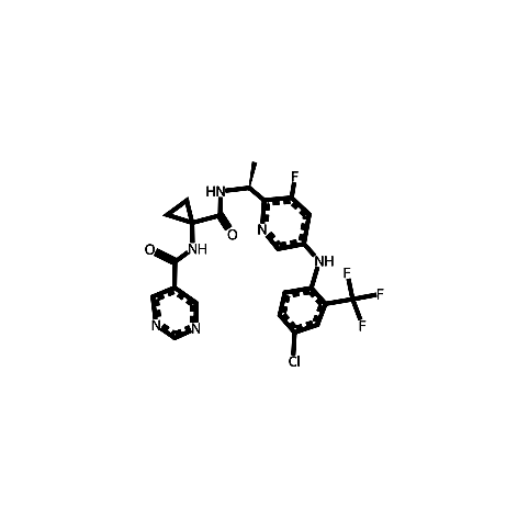 C[C@H](NC(=O)C1(NC(=O)c2cncnc2)CC1)c1ncc(Nc2ccc(Cl)cc2C(F)(F)F)cc1F